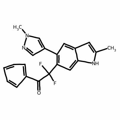 Cc1cc2cc(-c3cnn(C)c3)c(C(F)(F)C(=O)c3ccccc3)cc2[nH]1